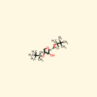 CC(C)(C)[Si](C)(C)OC[C@H]1O[CH][C@H](O[Si](C)(C)C(C)(C)C)[C@@H]1O